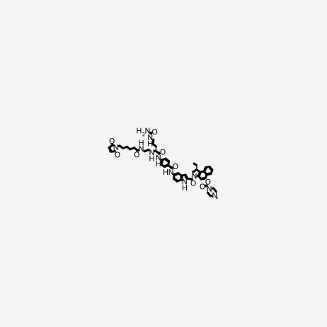 CC[C@@H]1CN(C(=O)c2cc3cc(NC(=O)c4ccc(NC(=O)[C@H](CCCNC(N)=O)NCCNC(=O)CCCCCN5C(=O)C=CC5=O)cc4)ccc3[nH]2)c2cc(OC(=O)N3CCN(C)CC3)c3ccccc3c21